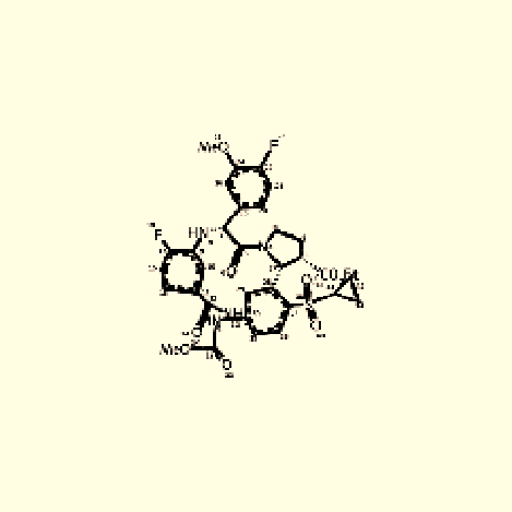 CCOC(=O)[C@H]1CCN(C(=O)[C@H](Nc2cc(C(N)=O)ccc2F)c2ccc(F)c(OC)c2)[C@H]1c1cc(NC(=O)OC)ccc1S(=O)(=O)C1CC1